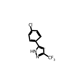 FC(F)(F)c1[c]c(-c2ccc(Cl)cc2)[nH]n1